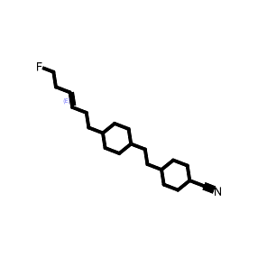 N#CC1CCC(CCC2CCC(CC/C=C/CCF)CC2)CC1